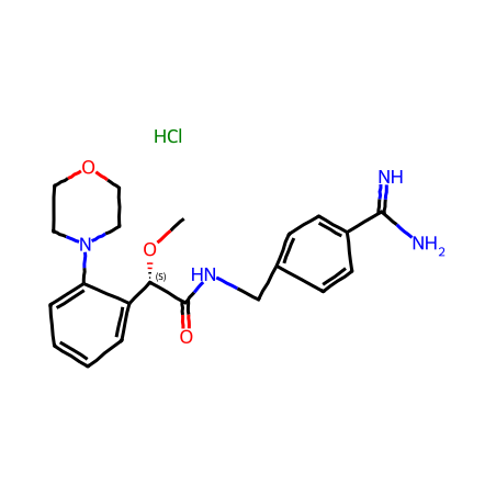 CO[C@H](C(=O)NCc1ccc(C(=N)N)cc1)c1ccccc1N1CCOCC1.Cl